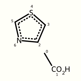 CC(=O)O.c1cscn1